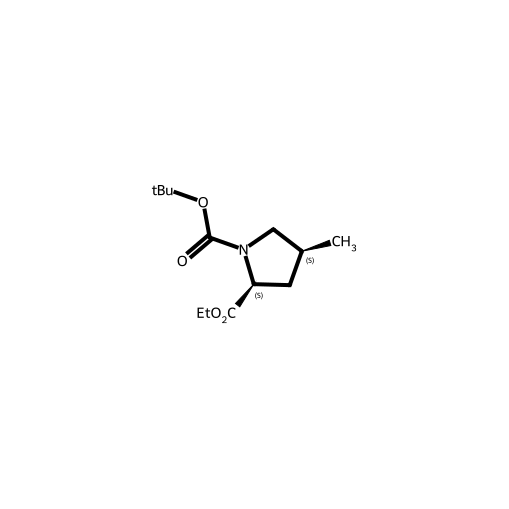 CCOC(=O)[C@@H]1C[C@H](C)CN1C(=O)OC(C)(C)C